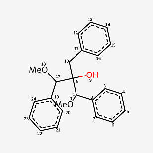 COC(c1ccccc1)C(O)(Cc1ccccc1)C(OC)c1ccccc1